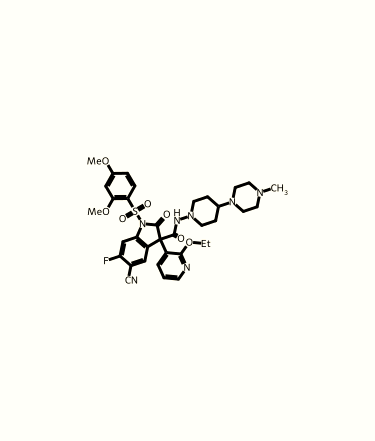 CCOc1ncccc1C1(C(=O)NN2CCC(N3CCN(C)CC3)CC2)C(=O)N(S(=O)(=O)c2ccc(OC)cc2OC)c2cc(F)c(C#N)cc21